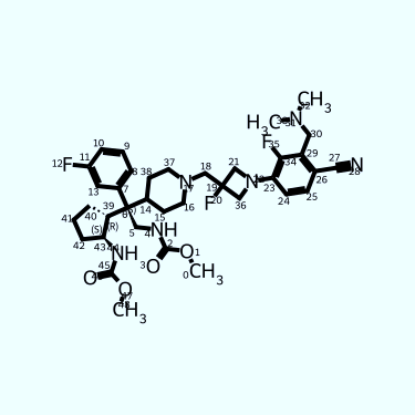 COC(=O)NC[C@@](c1cccc(F)c1)(C1CCN(CC2(F)CN(c3ccc(C#N)c(CN(C)C)c3F)C2)CC1)[C@H]1CCC[C@@H]1NC(=O)OC